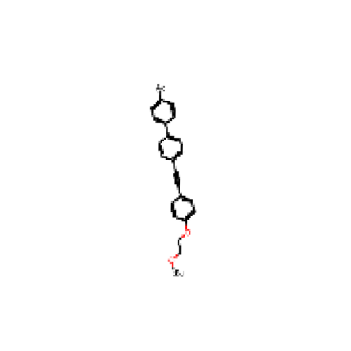 CC(=O)c1ccc(-c2ccc(C#Cc3ccc(OCCOC(C)(C)C)cc3)cc2)cc1